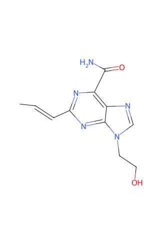 CC=Cc1nc(C(N)=O)c2ncn(CCO)c2n1